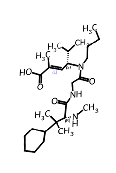 CCCCN(C(=O)CNC(=O)[C@H](NC)C(C)(C)C1CCCCC1)[C@H](/C=C(\C)C(=O)O)C(C)C